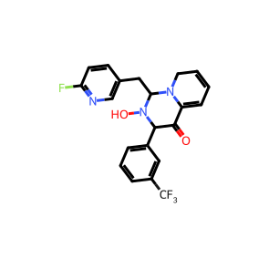 O=C1C2=CC=CCN2C(Cc2ccc(F)nc2)N(O)C1c1cccc(C(F)(F)F)c1